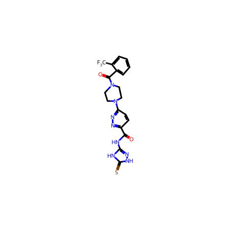 O=C(Nc1n[nH]c(=S)[nH]1)c1ccc(N2CCN(C(=O)c3ccccc3C(F)(F)F)CC2)nn1